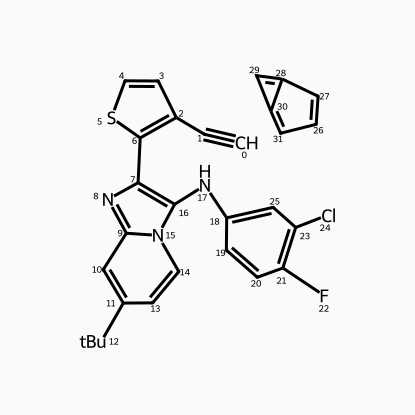 C#Cc1ccsc1-c1nc2cc(C(C)(C)C)ccn2c1Nc1ccc(F)c(Cl)c1.c1cc2cc-2c1